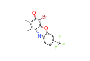 Cc1c2nc3ccc(C(F)(F)F)cc3oc-2c(Br)c(=O)c1C